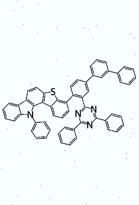 c1ccc(-c2cccc(-c3ccc(-c4cccc5c4sc4ccc6c7ccccc7n(-c7ccccc7)c6c45)c(-c4nc(-c5ccccc5)nc(-c5ccccc5)n4)c3)c2)cc1